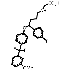 COc1cccc(C(F)(F)c2ccc(OC(CCCNCC(=O)O)c3ccc(F)cc3)cc2)c1